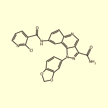 NC(=O)c1nn(-c2ccc3c(c2)OCO3)c2c1cnc1ccc(NC(=O)c3cccnc3Cl)cc12